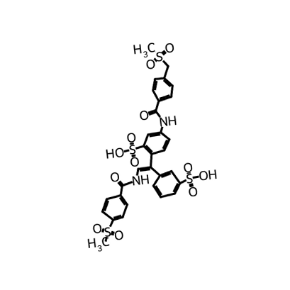 CS(=O)(=O)Cc1ccc(C(=O)Nc2ccc(/C(=C/NC(=O)c3ccc(S(C)(=O)=O)cc3)c3cccc(S(=O)(=O)O)c3)c(S(=O)(=O)O)c2)cc1